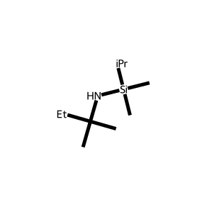 CCC(C)(C)N[Si](C)(C)C(C)C